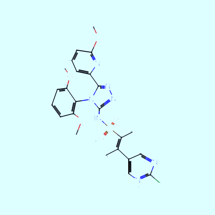 COc1cccc(-c2nnc(NS(=O)(=O)/C(C)=C(\C)c3cnc(F)nc3)n2-c2c(OC)cccc2OC)n1